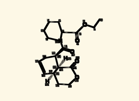 CCOC(=O)C1CCCCN1C(=O)[C@@H]1CC=C[C@@H]2CCOC(=O)[C@@H]21